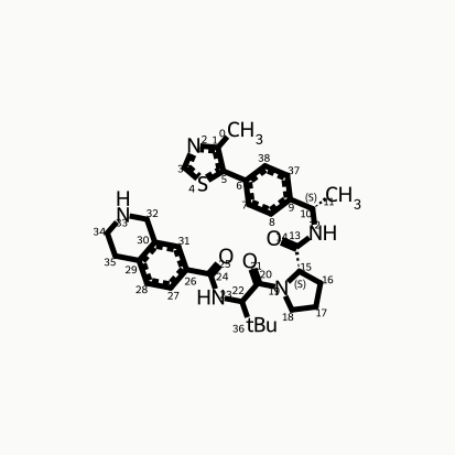 Cc1ncsc1-c1ccc([C@H](C)NC(=O)[C@@H]2CCCN2C(=O)C(NC(=O)c2ccc3c(c2)CNCC3)C(C)(C)C)cc1